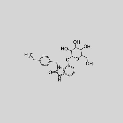 CCc1ccc(Cn2c(=O)[nH]c3cccc(OC4OC(CO)C(O)C(O)C4O)c32)cc1